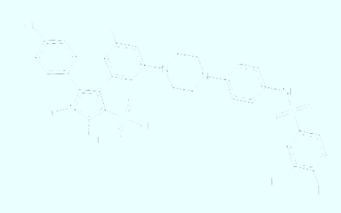 Cc1cc(S(=O)(=O)Nc2ccc(N3CCN(c4cc(F)cc(-c5c(S(C)(=O)=O)c(C)n(C(C)C)c5-c5ccc(Cl)cc5)c4)CC3)cc2)ccc1F